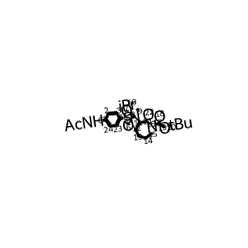 CC(=O)Nc1ccc(S(=O)(=O)N(CC(C)C)[C@H]2CCCCN(C(=O)OC(C)(C)C)C2=O)cc1